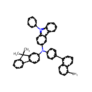 Bc1cccc2c(-c3ccc(N(c4ccc5c(c4)C(C)(C)c4ccccc4-5)c4ccc5c(c4)c4ccccc4n5-c4ccccc4)cc3)cccc12